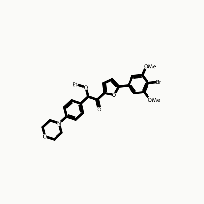 CCOC(C(=O)c1ccc(-c2cc(OC)c(Br)c(OC)c2)o1)c1ccc(N2CCOCC2)cc1